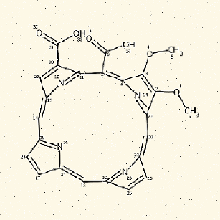 COC1=C(OC)C2=C(C(=O)O)C3=NC(=CC4=NC(=CC5=NC(=CC1=N2)C=C5)C=C4)C=C3C(=O)O